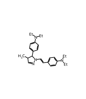 CCN(CC)c1ccc(C=CN2N=CC(C)C2c2ccc(N(CC)CC)cc2)cc1